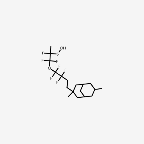 CC1CC2CC(C1)CC(C)(CCC(F)(F)C(F)(F)OC(F)(F)C(C)(F)SO)C2